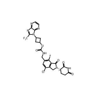 O=C1CC[C@H](N2Cc3c(Cl)cc(CNC(=O)OC4CC(n5c(C(F)(F)F)nc6nccnc65)C4)c(F)c3C2=O)C(=O)N1